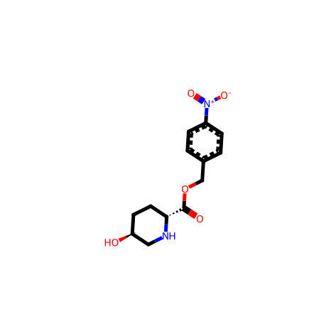 O=C(OCc1ccc([N+](=O)[O-])cc1)[C@H]1CC[C@H](O)CN1